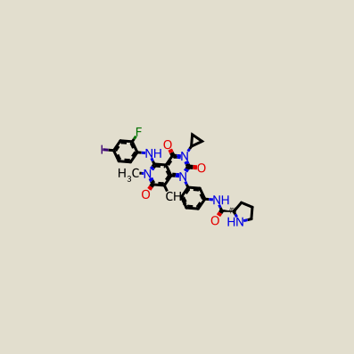 Cc1c(=O)n(C)c(Nc2ccc(I)cc2F)c2c(=O)n(C3CC3)c(=O)n(-c3cccc(NC(=O)[C@H]4CCCN4)c3)c12